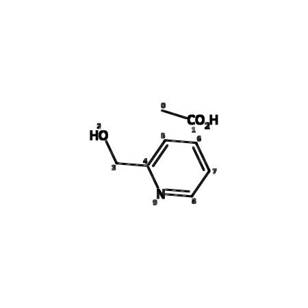 CC(=O)O.OCc1ccccn1